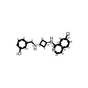 Clc1cccc(CN[C@H]2C[C@H](Nc3nccc4ccc(Cl)cc34)C2)c1